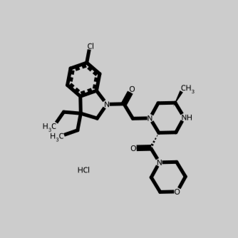 CCC1(CC)CN(C(=O)CN2C[C@@H](C)NC[C@@H]2C(=O)N2CCOCC2)c2cc(Cl)ccc21.Cl